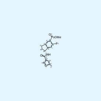 COC(=O)c1cc2c(cc1F)[C@H](NC(=O)c1cc(C)on1)CC2